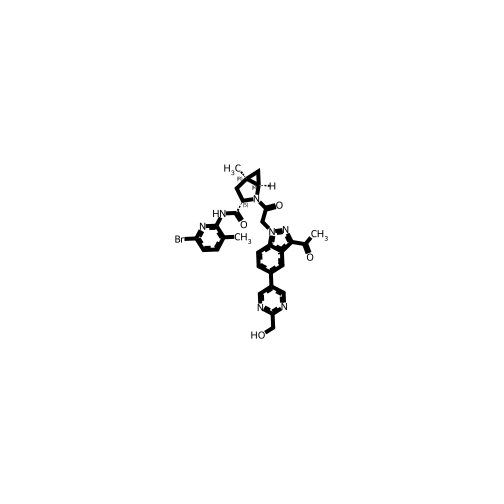 CC(=O)c1nn(CC(=O)N2[C@H](C(=O)Nc3nc(Br)ccc3C)C[C@@]3(C)C[C@@H]23)c2ccc(-c3cnc(CO)nc3)cc12